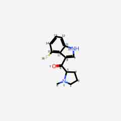 CN1CCCC1C(=O)c1c[nH]c2cccc(F)c12